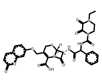 CCN1CCN(C(=O)NC(C(=O)N[C@@H]2C(=O)N3C(C(=O)O)=C(COc4ccc5ccc(=O)oc5c4)CS[C@H]23)c2ccccc2)C(=O)C1=O